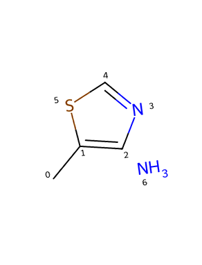 Cc1cncs1.N